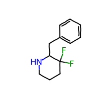 FC1(F)CCCNC1Cc1ccccc1